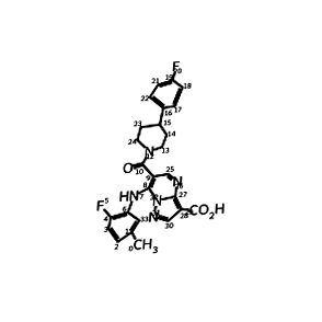 Cc1ccc(F)c(Nc2c(C(=O)N3CCC(c4ccc(F)cc4)CC3)cnc3c(C(=O)O)cnn23)c1